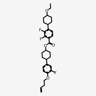 C=CCCOc1ccc(C2CCC(OC(=O)c3ccc(C4CCC(OCC)CC4)c(F)c3F)CC2)cc1F